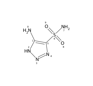 Nc1[nH]nnc1S(N)(=O)=O